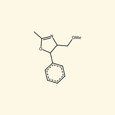 COCC1N=C(C)OC1c1ccccc1